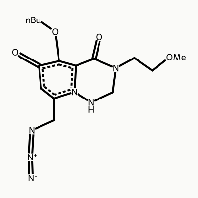 CCCCOc1c2n(c(CN=[N+]=[N-])cc1=O)NCN(CCOC)C2=O